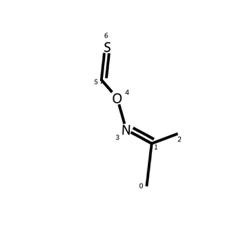 CC(C)=NO[C]=S